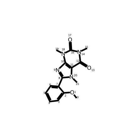 COc1ccccc1-c1nc2c(c(=O)n(C)c(=O)n2C)n1C